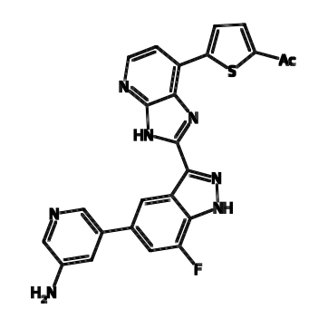 CC(=O)c1ccc(-c2ccnc3[nH]c(-c4n[nH]c5c(F)cc(-c6cncc(N)c6)cc45)nc23)s1